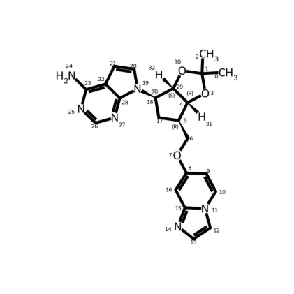 CC1(C)O[C@@H]2[C@@H](COc3ccn4ccnc4c3)C[C@@H](n3ccc4c(N)ncnc43)[C@@H]2O1